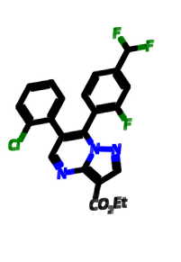 CCOC(=O)c1cnn2c(-c3ccc(C(F)F)cc3F)c(-c3ccccc3Cl)cnc12